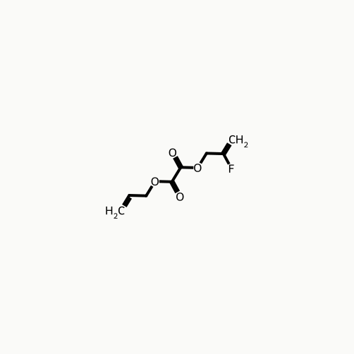 C=CCOC(=O)C(=O)OCC(=C)F